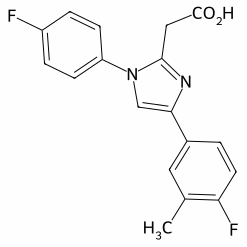 Cc1cc(-c2cn(-c3ccc(F)cc3)c(CC(=O)O)n2)ccc1F